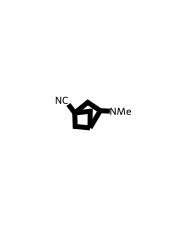 CNC1CC2(C#N)CC1C2